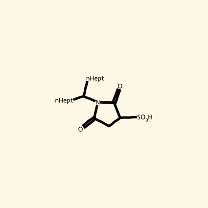 CCCCCCCC(CCCCCCC)N1C(=O)CC(S(=O)(=O)O)C1=O